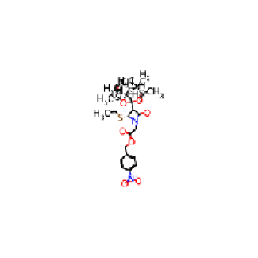 CCS[C@@H]1[C@@H](C(C)(O[SiH](C)C(C)(C)C)O[SiH](C)C(C)(C)C)C(=O)N1CC(=O)OCc1ccc([N+](=O)[O-])cc1